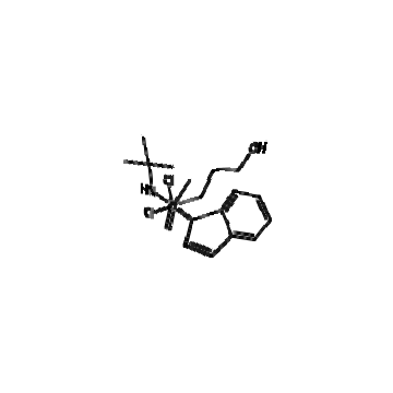 [CH2]=[Zr]([CH3])([Cl])([Cl])([CH2]CCO)([NH]C(C)(C)C)[CH]1C=Cc2ccccc21